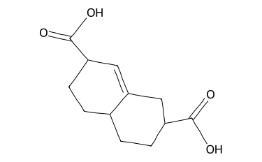 O=C(O)C1C=C2CC(C(=O)O)CCC2CC1